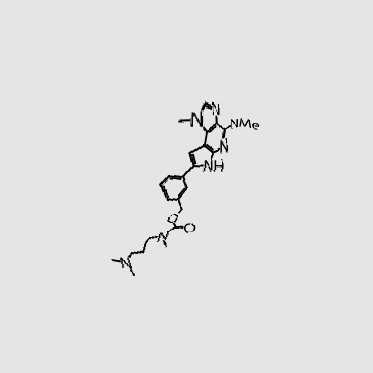 CNc1nc2[nH]c(-c3cccc(COC(=O)N(C)CCCN(C)C)c3)cc2c2c1ncn2C